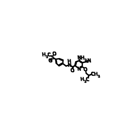 CC(C)COc1nc(C(=O)NCc2ccc(S(C)(=O)=O)cc2)cc(N)c1C#N